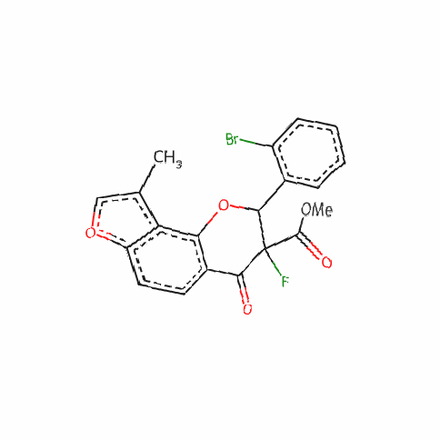 COC(=O)C1(F)C(=O)c2ccc3occ(C)c3c2OC1c1ccccc1Br